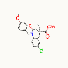 CCC1(C(=O)O)CC(=O)N(Cc2ccc(OC)cc2)c2ccc(Cl)cc2C1